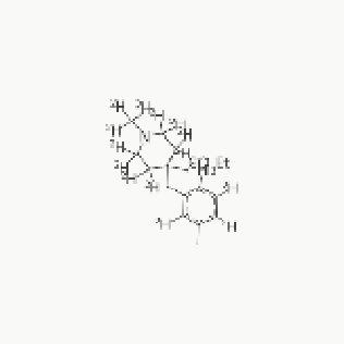 [2H]c1c([2H])c(C)c([2H])c(CC2(CC(=O)OCC)C([2H])([2H])C([2H])([2H])N(C([2H])([2H])[2H])C([2H])([2H])C2([2H])[2H])c1[2H]